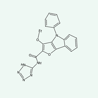 CCOc1c(C(=O)Nc2nnn[nH]2)oc2c3ccccc3n(-c3ccccc3)c12